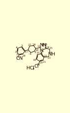 Cl.N#Cc1cccc(C2CCC(c3nnc4n3-c3ccc(Cl)cc3CNC4)CC2)c1